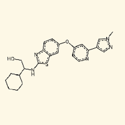 Cn1cc(-c2cc(Oc3ccc4nc(NC(CO)C5CCCCC5)sc4c3)ccn2)cn1